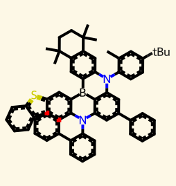 Cc1cc(C(C)(C)C)ccc1N1c2cc3c(cc2B2c4cc5sc6ccccc6c5cc4N(c4ccccc4-c4ccccc4)c4cc(-c5ccccc5)cc1c42)C(C)(C)CCC3(C)C